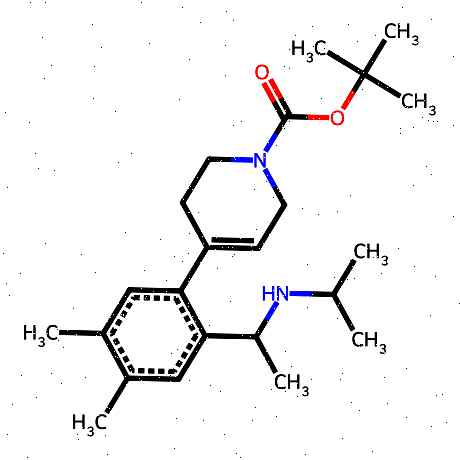 Cc1cc(C2=CCN(C(=O)OC(C)(C)C)CC2)c(C(C)NC(C)C)cc1C